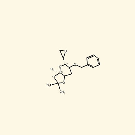 CC1(C)OC2CC(OCc3ccccc3)[C@@H](C3CO3)O[C@@H]2O1